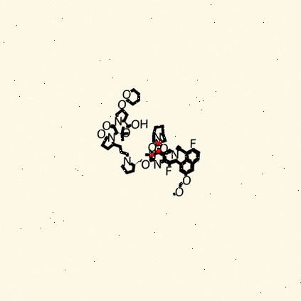 C#Cc1c(F)ccc2cc(OCOC)cc(-c3ncc4c(N5CC6CCC(C5)N6C(=O)OC(C)(C)C)nc(OC[C@@H]5CCCN5CCCC5CCC(=O)N5[C@H](C(=O)N5C[C@H](OC6CCCCO6)C[C@H]5C(=O)O)C(C)(C)C)nc4c3F)c12